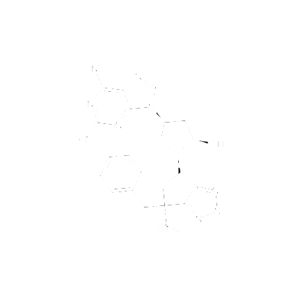 Nc1nc(Cl)nc2c1ncn2[C@H]1C[C@@H](O)[C@@H](COC(Cc2ccccc2)(C(=O)O)c2nn[nH]n2)O1